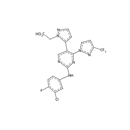 O=C(O)Cn1nccc1-c1cnc(Nc2ccc(F)c(Cl)c2)nc1-n1ccc(C(F)(F)F)n1